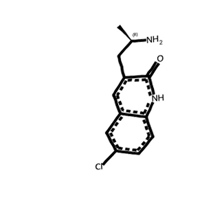 C[C@@H](N)Cc1cc2cc(Cl)ccc2[nH]c1=O